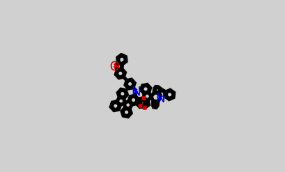 c1ccc2c(c1)-c1ccccc1C21c2ccccc2-c2c1cc(N(c1ccc(-c3ccc4oc5ccccc5c4c3)cc1)c1cccc3c1-c1ccccc1C31c3ccccc3-n3c4ccccc4c4cccc1c43)c1ccccc21